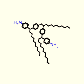 CCCCCCCCCCCC(c1ccc(N)cc1)c1ccc(CC(CCCCCCCCCC)c2ccc(C(CCCCCCCCCCC)c3ccc(N)cc3)cc2)cc1